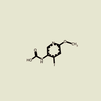 COc1cc(I)c(NC(=O)O)cn1